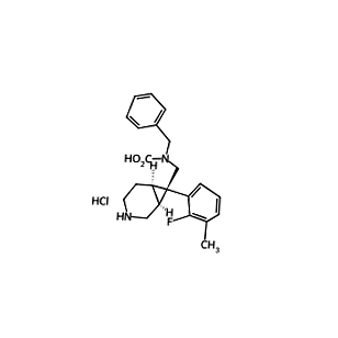 Cc1cccc([C@@]2(CN(Cc3ccccc3)C(=O)O)[C@@H]3CCNC[C@@H]32)c1F.Cl